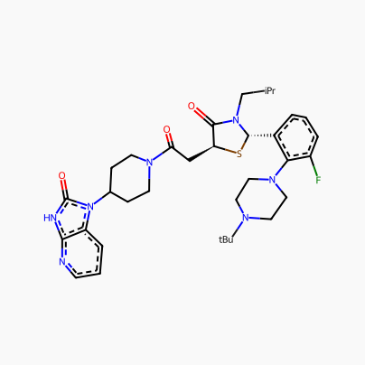 CC(C)CN1C(=O)[C@H](CC(=O)N2CCC(n3c(=O)[nH]c4ncccc43)CC2)S[C@H]1c1cccc(F)c1N1CCN(C(C)(C)C)CC1